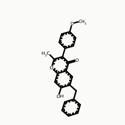 COc1ccc(-c2c(C)oc3cc(O)c(Cc4ccccc4)cc3c2=O)cc1